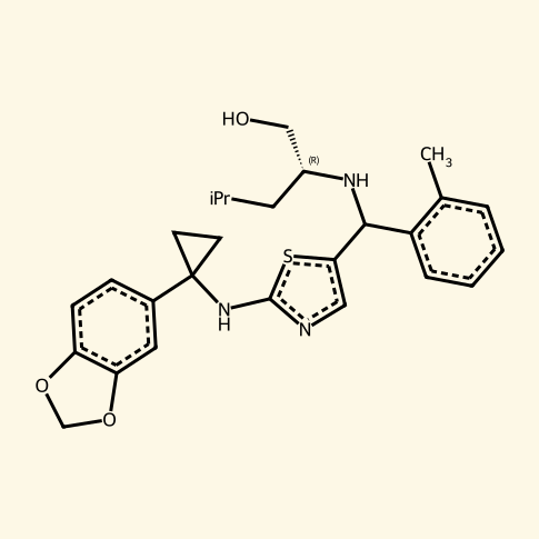 Cc1ccccc1C(N[C@@H](CO)CC(C)C)c1cnc(NC2(c3ccc4c(c3)OCO4)CC2)s1